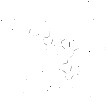 C=C(NCc1cc2c(Cl)c[nH]c2cc1F)c1cncc(Cc2cc(F)c(CNC(C)=O)cc2F)c1